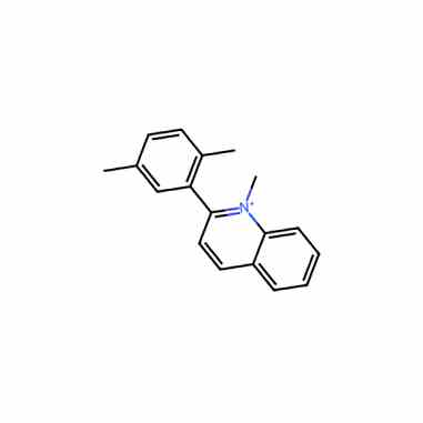 Cc1ccc(C)c(-c2ccc3ccccc3[n+]2C)c1